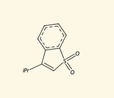 CC(C)C1=CS(=O)(=O)c2ccccc21